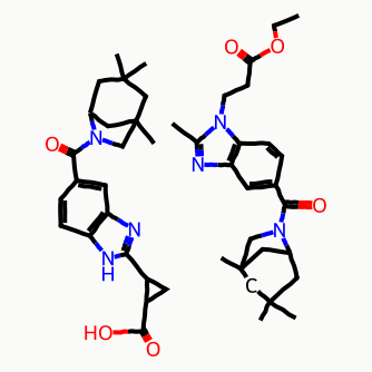 CC1(C)CC2CC(C)(CN2C(=O)c2ccc3[nH]c(C4CC4C(=O)O)nc3c2)C1.CCOC(=O)CCn1c(C)nc2cc(C(=O)N3CC4(C)CC3CC(C)(C)C4)ccc21